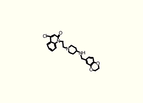 O=c1cc(Cl)c2ccccc2n1CCN1CCC(NCc2ccc3c(c2)OCCO3)CC1